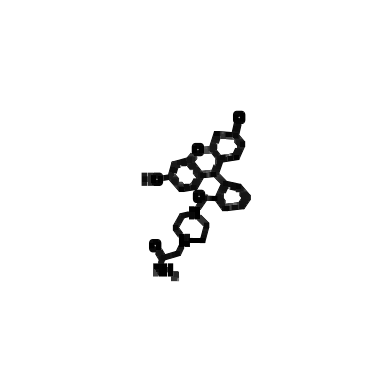 NC(=O)CN1CCN(C(=O)c2ccccc2-c2c3ccc(=O)cc-3oc3cc(O)ccc23)CC1